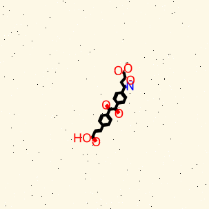 COC(=O)C1CC(c2ccc(C(=O)C(=O)c3ccc(C=CC(=O)O)cc3)cc2)=NO1